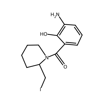 Nc1cccc(C(=O)N2CCCCC2CI)c1O